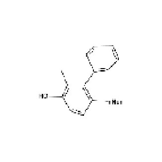 CCCCCCCCCc1ccc(O)c(C)c1-c1ccccc1